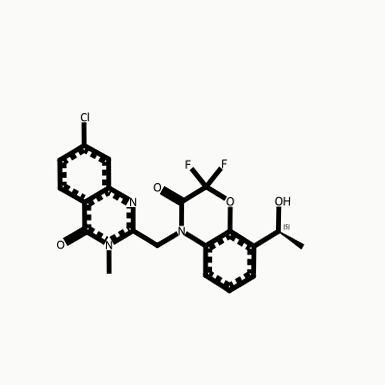 C[C@H](O)c1cccc2c1OC(F)(F)C(=O)N2Cc1nc2cc(Cl)ccc2c(=O)n1C